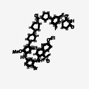 CCOc1ccc2c(P(C)(C)=O)c(Nc3nc(Nc4cc(CC)c(N5CCC(N6CCN(C(=O)[C@@H]7CCN(c8cc(F)c([C@H]9CCC(=O)NC9=O)c(F)c8)C7)CC6)CC5)cc4OC)ncc3Br)ccc2n1